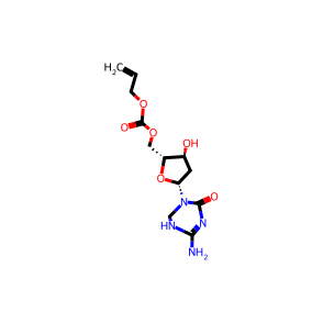 C=CCOC(=O)OC[C@H]1O[C@@H](N2CNC(N)=NC2=O)C[C@@H]1O